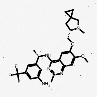 COc1cc2nc(C)nc(N[C@H](C)c3cc(N)cc(C(F)(F)F)c3)c2cc1OC[C@@H]1CC2(CC2)CN1C